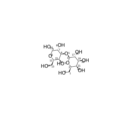 OC[C@H]1O[C@@H](O[C@@H]2[C@@H](O)[C@@H](O)O[C@H](CO)[C@@H]2O)[C@H](O)[C@@H](O)[C@H]1O